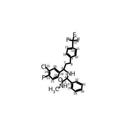 CNC(=O)C(NC(CCc1ccc(C(F)(F)F)cc1)c1ccc(F)c(Cl)c1)c1ccccc1